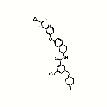 CN1CCN(Cc2cc(C(=O)NC3CCc4ccc(Oc5ccnc(NC(=O)C6CC6)c5)cc4C3)cc(C(C)(C)C)c2)CC1